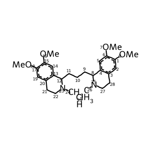 COc1cc2c(cc1OC)C(CCCC1c3cc(OC)c(OC)cc3CCN1C)N(C)CC2.Cl